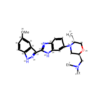 CCN(CC)C[C@H]1CN(c2ccc3nc(-c4n[nH]c5ccc(OC)cc45)[nH]c3c2)[C@H](C)CO1